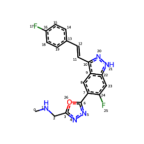 CNCc1nnc(-c2cc3c(/C=C/c4ccc(F)cc4)n[nH]c3cc2F)o1